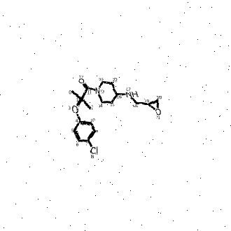 CC(C)(Oc1ccc(Cl)cc1)C(=O)N1CCC(NCC2CO2)CC1